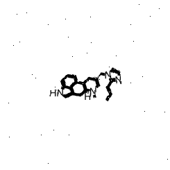 CCCc1nccn1C[C@@H]1CC2c3cccc4[nH]cc(c34)C[C@H]2N(C)C1